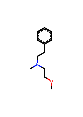 COCCN(C)CCc1ccccc1